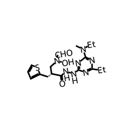 CCc1nc(NNC(=O)[C@H](Cc2cccs2)CN(O)C=O)nc(N(C)CC)n1